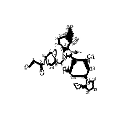 CCC(=O)N1CCO[C@@H](Cn2c(-c3c(F)cc(N4CCCC4=O)cc3Cl)nc3cc(C)ccc32)C1